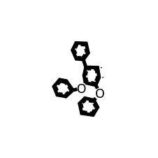 [c]1[c]c(Oc2ccccc2)c(Oc2ccccc2)cc1-c1ccccc1